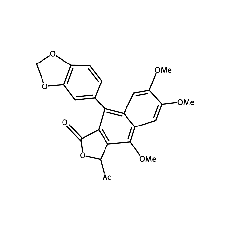 COc1cc2c(OC)c3c(c(-c4ccc5c(c4)OCO5)c2cc1OC)C(=O)OC3C(C)=O